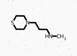 CNCCCN1CCSCC1